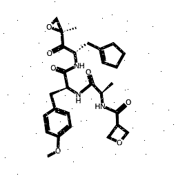 COc1ccc(C[C@H](NC(=O)[C@@H](C)NC(=O)C2COC2)C(=O)N[C@@H](CC2=CCCC2)C(=O)[C@]2(C)CO2)cc1